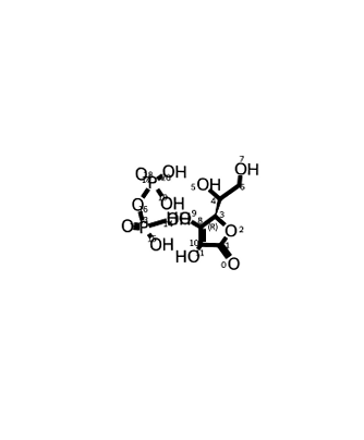 O=C1O[C@H](C(O)CO)C(O)=C1O.O=P(O)(O)OP(=O)(O)O